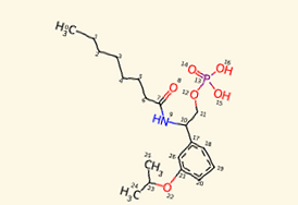 CCCCCCCC(=O)NC(COP(=O)(O)O)c1cccc(OC(C)C)c1